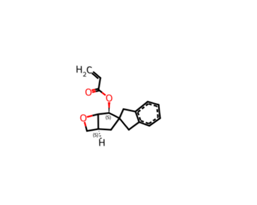 C=CC(=O)O[C@@H]1C2OC[C@@H]2CC12Cc1ccccc1C2